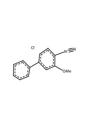 COc1cc(-c2ccccc2)ccc1[N+]#N.[Cl-]